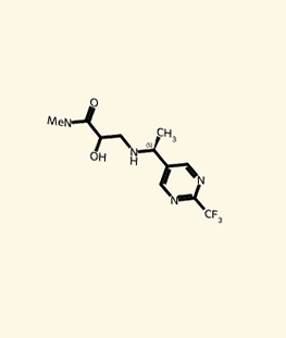 CNC(=O)C(O)CN[C@@H](C)c1cnc(C(F)(F)F)nc1